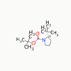 CC(C)(C)OC(=O)N1CCC[C@H]1C(C)(C)C